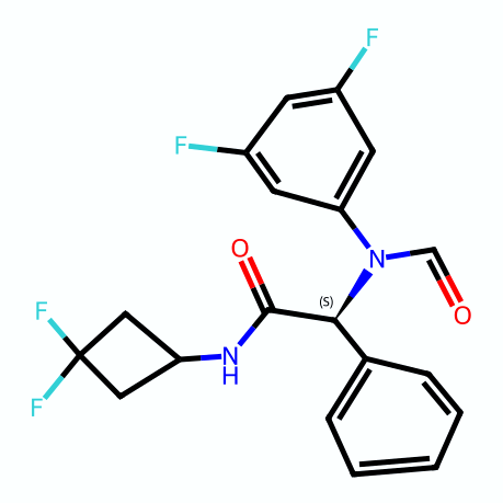 O=CN(c1cc(F)cc(F)c1)[C@H](C(=O)NC1CC(F)(F)C1)c1ccccc1